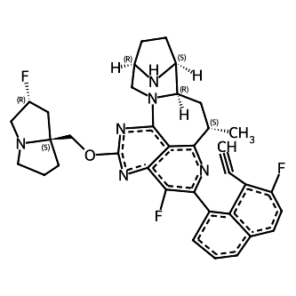 C#Cc1c(F)ccc2cccc(-c3nc4c5c(nc(OC[C@@]67CCCN6C[C@H](F)C7)nc5c3F)N3C[C@H]5CC[C@H](N5)[C@H]3C[C@@H]4C)c12